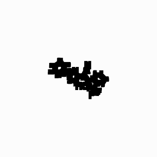 N#CC(=C(O)c1ccccc1C(F)(F)F)c1csc(-c2ccccc2)n1